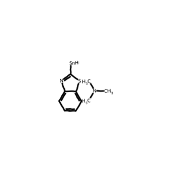 CN(C)C.[SnH][c]1nc2ccccc2s1